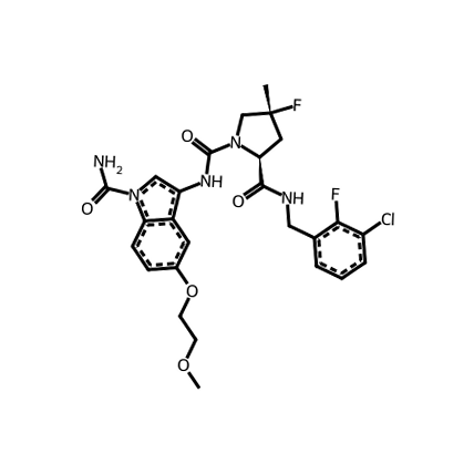 COCCOc1ccc2c(c1)c(NC(=O)N1C[C@](C)(F)C[C@H]1C(=O)NCc1cccc(Cl)c1F)cn2C(N)=O